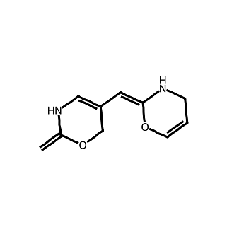 C=C1NC=C(/C=C2/NCC=CO2)CO1